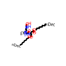 CCCCCCCCCCCCCCCCCCOC(=O)CC(CC(=O)OCCCCCCCCCCCCCCCCCC)NC(=O)CN(CC)CCNCO